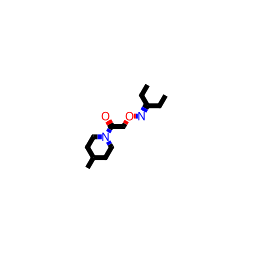 CCC(CC)=NOCC(=O)N1CCC(C)CC1